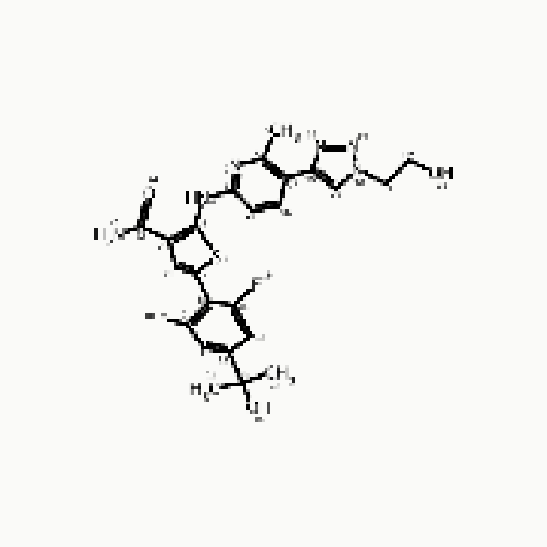 Cc1nc(Nc2sc(-c3c(F)cc(C(C)(C)O)cc3F)cc2C(N)=O)ccc1-c1cn(CCO)nn1